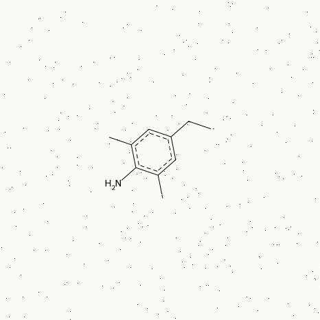 [CH2]Cc1cc(C)c(N)c(C)c1